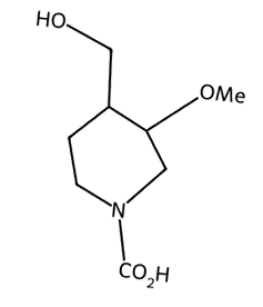 COC1CN(C(=O)O)CCC1CO